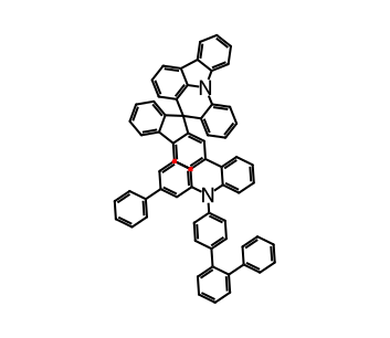 c1ccc(-c2cccc(N(c3ccc(-c4ccccc4-c4ccccc4)cc3)c3ccccc3-c3ccc4c(c3)C3(c5ccccc5-4)c4ccccc4-n4c5ccccc5c5cccc3c54)c2)cc1